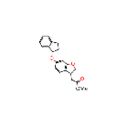 COC(=O)CC1COc2cc(O[C@H]3CCc4ccccc43)ccc21